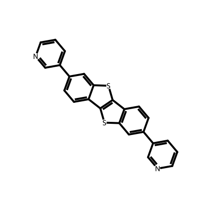 c1cncc(-c2ccc3c(c2)sc2c4ccc(-c5cccnc5)cc4sc32)c1